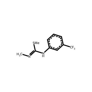 C/N=C(/Nc1cccc(C(F)(F)F)c1)SC